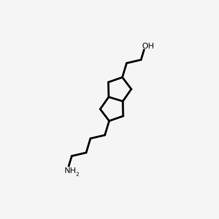 NCCCCC1CC2CC(CCO)CC2C1